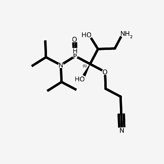 CC(C)N(C(C)C)[PH](=O)[C@@](O)(OCCC#N)C(O)CN